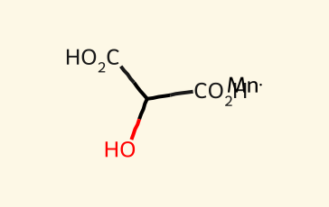 O=C(O)C(O)C(=O)O.[Mn]